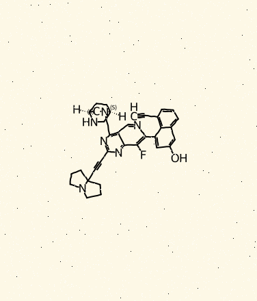 C#Cc1cccc2cc(O)cc(-c3ncc4c(N5C[C@@H]6CC[C@H]5CN6)nc(C#CC56CCCN5CCC6)nc4c3F)c12